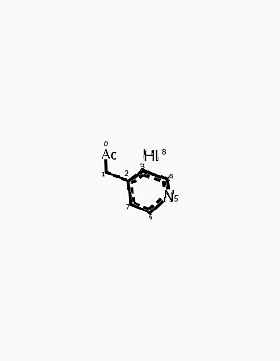 CC(=O)Cc1ccncc1.I